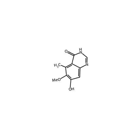 COc1c(O)cc2nc[nH]c(=O)c2c1C